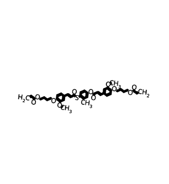 C=CC(=O)OCCCCOc1ccc(/C=C/C(=O)Oc2ccc(SC(=O)/C=C/c3ccc(OCCCCOC(=O)C=C)c(OC)c3)c(C)c2)cc1OC